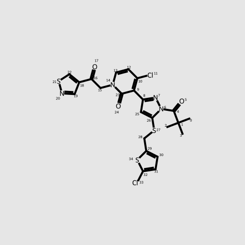 CC(C)(C)C(=O)n1nc(-c2c(Cl)ccn(CC(=O)c3cnsc3)c2=O)cc1SCc1ccc(Cl)s1